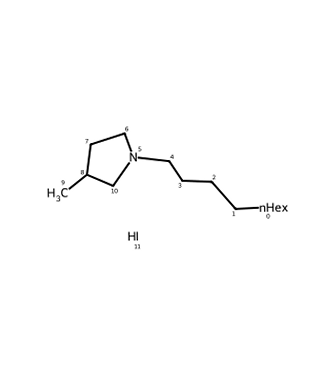 CCCCCCCCCCN1CCC(C)C1.I